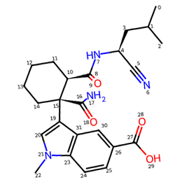 CC(C)C[C@@H](C#N)NC(=O)[C@@H]1CCCC[C@@]1(C(N)=O)c1cn(C)c2ccc(C(=O)O)cc12